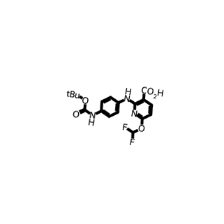 CC(C)(C)OC(=O)Nc1ccc(Nc2nc(OC(F)F)ccc2C(=O)O)cc1